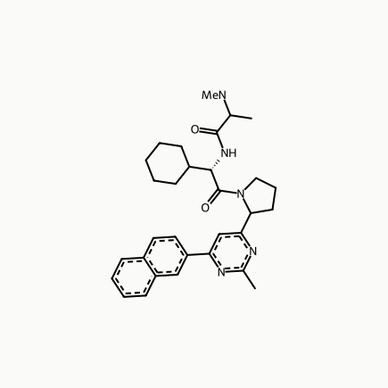 CNC(C)C(=O)N[C@H](C(=O)N1CCCC1c1cc(-c2ccc3ccccc3c2)nc(C)n1)C1CCCCC1